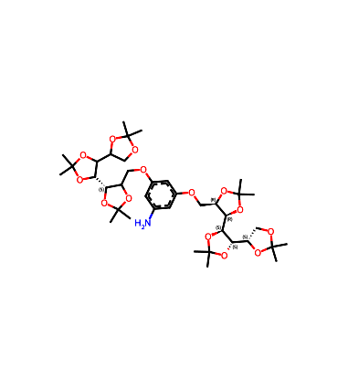 CC1(C)OCC(C2OC(C)(C)OC2[C@H]2OC(C)(C)OC2COc2cc(N)cc(OC[C@H]3OC(C)(C)O[C@H]3[C@@H]3OC(C)(C)O[C@H]3[C@@H]3COC(C)(C)O3)c2)O1